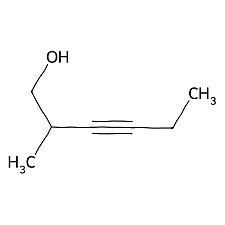 CCC#CC(C)CO